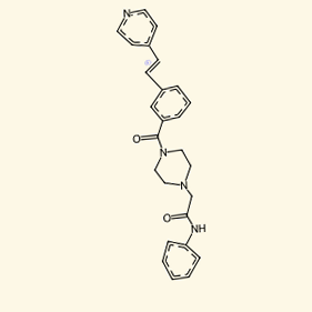 O=C(CN1CCN(C(=O)c2cccc(/C=C/c3ccncc3)c2)CC1)Nc1ccccc1